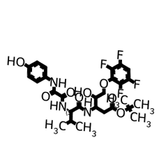 CC(C)[C@H](NC(=O)C(=O)Nc1ccc(O)cc1)C(=O)NC(CC(=O)OC(C)(C)C)C(O)COc1c(F)c(F)cc(F)c1F